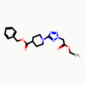 CCOC(=O)Cn1nnc(N2CCC(C(=O)OCc3ccccc3)CC2)n1